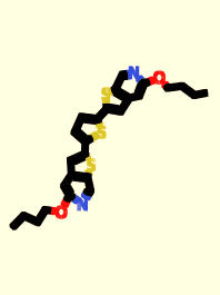 CCCCOc1cc2cc(-c3ccc(-c4cc5cc(OCCCC)ncc5s4)s3)sc2cn1